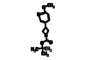 COc1ccc(C2CN(C(=O)OC(C)(C)C)C2)cn1